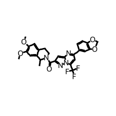 COc1cc2c(cc1OC)C(C)N(C(=O)c1cc3nc(-c4ccc5c(c4)OCO5)cc(C(F)(F)F)n3n1)CC2